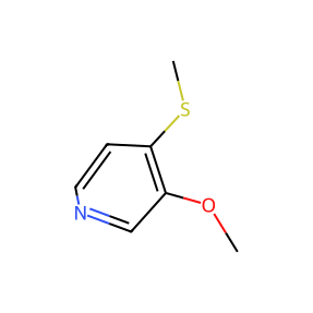 COc1cnccc1SC